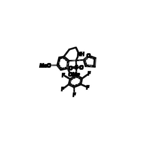 COc1cc2c(c(OC)c1)C(c1ccco1)(S(=O)(=O)c1c(F)c(F)c(F)c(F)c1F)NCC2